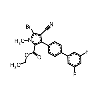 CCOC(=O)c1c(-c2ccc(-c3cc(F)cc(F)c3)cc2)c(C#N)c(Br)n1C